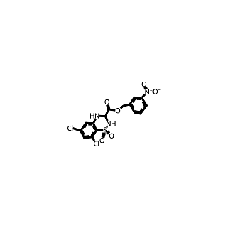 O=C(OCc1cccc([N+](=O)[O-])c1)C1Nc2cc(Cl)cc(Cl)c2S(=O)(=O)N1